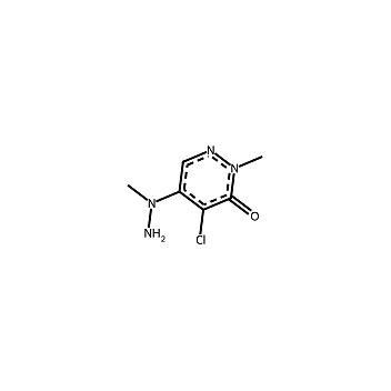 CN(N)c1cnn(C)c(=O)c1Cl